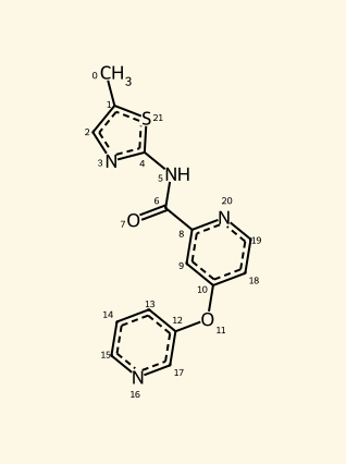 Cc1cnc(NC(=O)c2cc(Oc3cccnc3)ccn2)s1